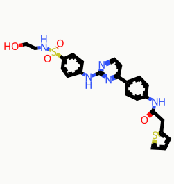 O=C(Cc1cccs1)Nc1ccc(-c2ccnc(Nc3ccc(S(=O)(=O)NCCO)cc3)n2)cc1